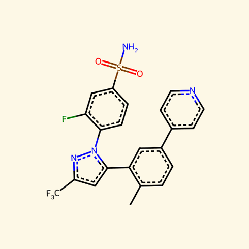 Cc1ccc(-c2ccncc2)cc1-c1cc(C(F)(F)F)nn1-c1ccc(S(N)(=O)=O)cc1F